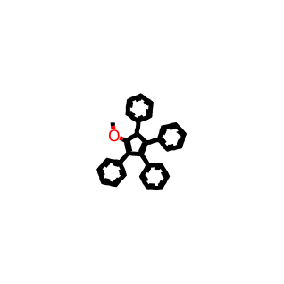 COC1=C(c2ccccc2)C(c2ccccc2)=C(c2ccccc2)C1c1ccccc1